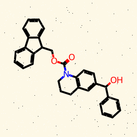 O=C(OCC1c2ccccc2-c2ccccc21)N1CCCc2cc(C(O)c3ccccc3)ccc21